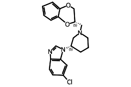 Clc1ccc2ncn([C@H]3CCCN(C[C@H]4COc5ccccc5O4)C3)c2c1